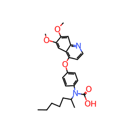 CCCCCC(C)N(C(=O)O)c1ccc(Oc2ccnc3cc(OC)c(OC)cc23)cc1